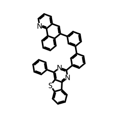 c1ccc(-c2nc(-c3cccc(-c4cccc(-c5cc6cccnc6c6ccccc56)c4)c3)nc3c2sc2ccccc23)cc1